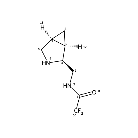 O=C(NC[C@H]1NC[C@H]2C[C@H]21)C(F)(F)F